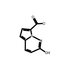 O=C(Cl)c1ccc2ccc(O)nn12